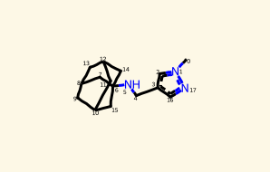 Cn1cc(CNC23CC4CC(CC(C4)C2)C3)cn1